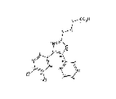 O=C(O)CCCc1nc(-c2ccc(Cl)c(Cl)c2)c(-c2ccccc2)o1